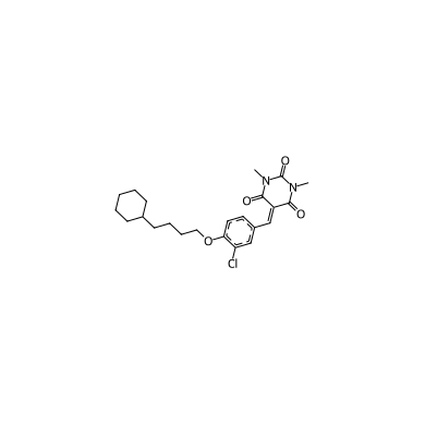 CN1C(=O)C(=Cc2ccc(OCCCCC3CCCCC3)c(Cl)c2)C(=O)N(C)C1=O